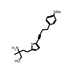 CSc1ccc(CCC#Cc2ccc(CCC(C)(N)CO)s2)cc1